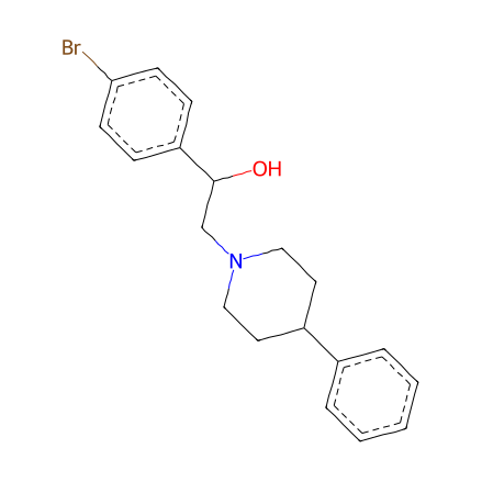 OC(CN1CCC(c2ccccc2)CC1)c1ccc(Br)cc1